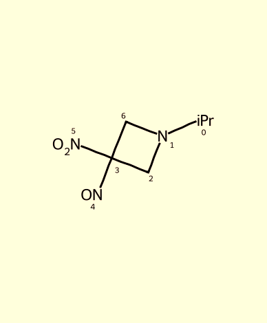 CC(C)N1CC(N=O)([N+](=O)[O-])C1